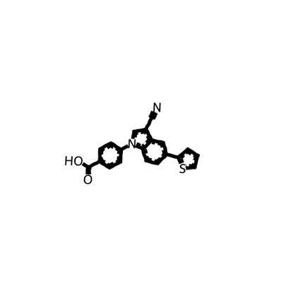 N#Cc1cn(-c2ccc(C(=O)O)cc2)c2ccc(-c3cccs3)cc12